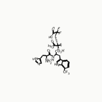 NC(Cc1cnc[nH]1)C(=O)NC(Cc1c[nH]c2c(C(F)(F)F)cccc12)C(=O)O.O=C(O)C(F)(F)F.O=C(O)C(F)(F)F